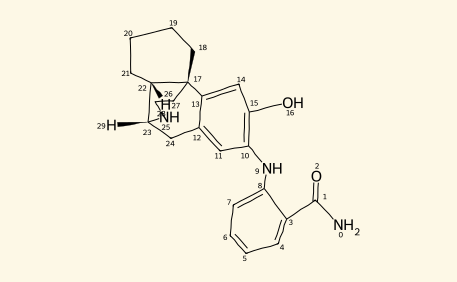 NC(=O)c1ccccc1Nc1cc2c(cc1O)[C@@]13CCCC[C@H]1[C@@H](C2)NCC3